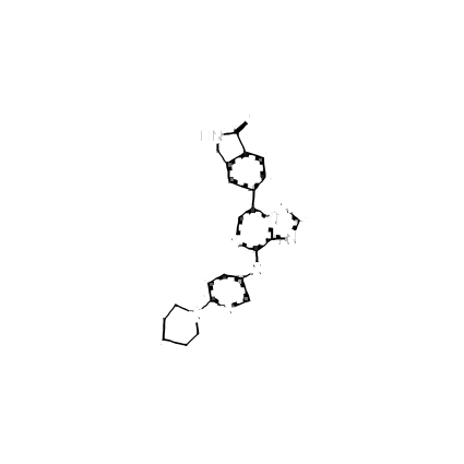 O=C1NCc2cc(-c3cnc(Nc4ccc(N5CCCCC5)nc4)c4ncnn34)ccc21